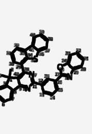 CC1(C)c2ccccc2-c2nc(-c3cccc(-c4nc5ccccc5o4)c3)nc(-c3cccc4c3sc3ccccc34)c21